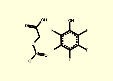 O=C(O)CO[N+](=O)[O-].Oc1c(F)c(F)c(F)c(F)c1F